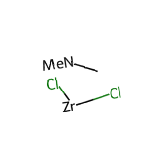 CNC.[Cl][Zr][Cl]